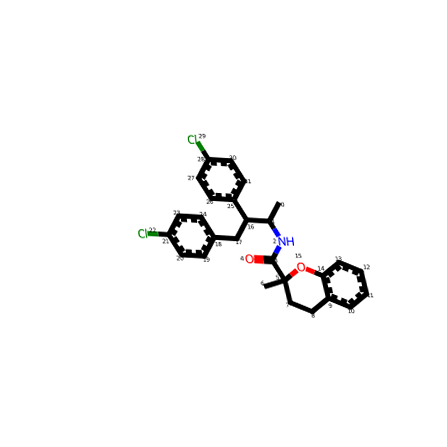 CC(NC(=O)C1(C)CCc2ccccc2O1)C(Cc1ccc(Cl)cc1)c1ccc(Cl)cc1